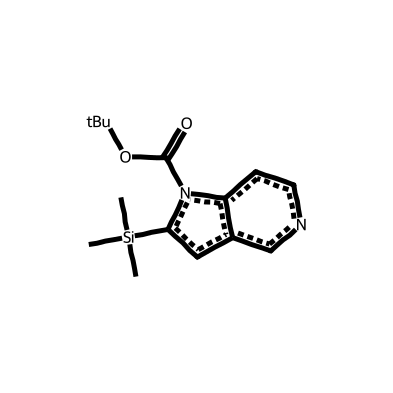 CC(C)(C)OC(=O)n1c([Si](C)(C)C)cc2cnccc21